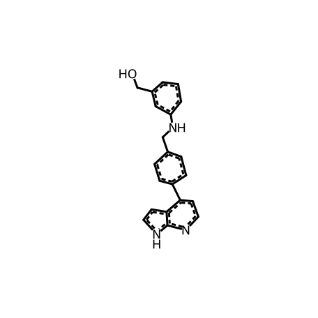 OCc1cccc(NCc2ccc(-c3ccnc4[nH]ccc34)cc2)c1